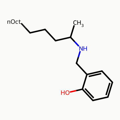 CCCCCCCCCCCC(C)NCc1ccccc1O